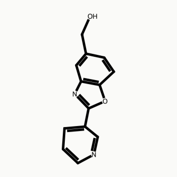 OCc1ccc2oc(-c3cccnc3)nc2c1